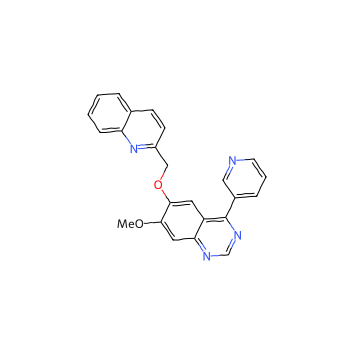 COc1cc2ncnc(-c3cccnc3)c2cc1OCc1ccc2ccccc2n1